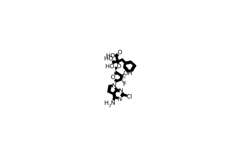 Nc1nc(Cl)nc2c1ccn2[C@@H]1O[C@H](COC(Cc2ccccc2)(C(=O)O)C(O)O)[C@@H](O)[C@@H]1F